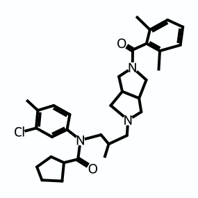 Cc1ccc(N(CC(C)CN2CC3CN(C(=O)c4c(C)cccc4C)CC3C2)C(=O)C2CCCC2)cc1Cl